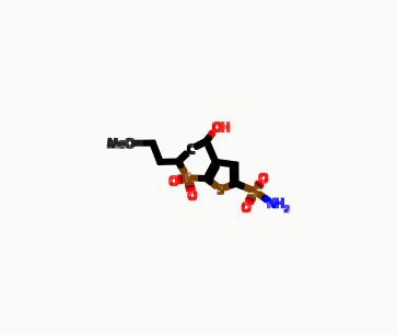 COCCC1CC(O)c2cc(S(N)(=O)=O)sc2S1(=O)=O